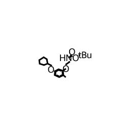 Cc1ccc(OCC2CCCCC2)cc1OCCNC(=O)OC(C)(C)C